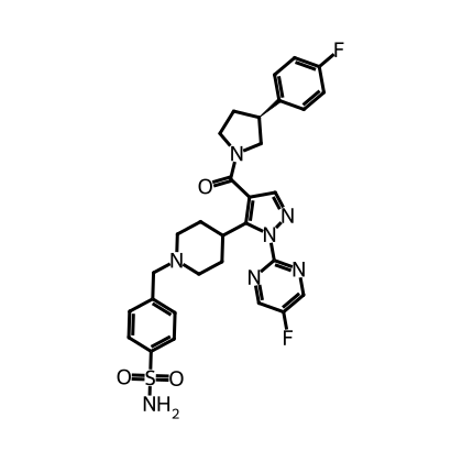 NS(=O)(=O)c1ccc(CN2CCC(c3c(C(=O)N4CC[C@@H](c5ccc(F)cc5)C4)cnn3-c3ncc(F)cn3)CC2)cc1